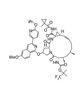 COc1ccc2c(OC3C[C@H]4C(=O)N[C@]5(C(=O)NS(=O)(=O)C6(C)CC6)C[C@H]5/C=C\CC[C@@H](C)C[C@@H](C)[C@H](NC(=O)OC(C)(C)C(F)(F)F)C(=O)N4C3)nc(-c3ccc(OC(C)C)nc3)cc2c1